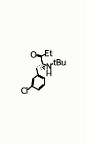 CCC(=O)[C@@H](Cc1cccc(Cl)c1)NC(C)(C)C